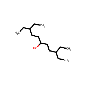 CCC(CC)CCC(O)CCC(CC)CC